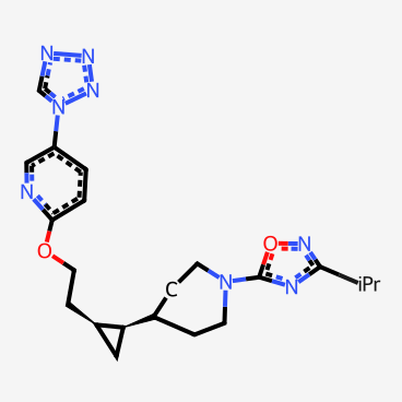 CC(C)c1noc(N2CCC([C@H]3C[C@H]3CCOc3ccc(-n4cnnn4)cn3)CC2)n1